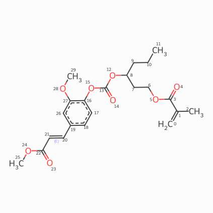 C=C(C)C(=O)OCCC(CCC)OC(=O)Oc1ccc(/C=C/C(=O)OC)cc1OC